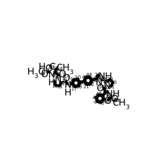 COC(=O)N[C@H](C(=O)N1CCC[C@H]1C(=O)Nc1ccc(-c2ccc(-c3c[nH]c([C@@H]4CCCN4C(=O)[C@H](NC(=O)OC)c4ccccc4)n3)cc2)cc1)C(C)C